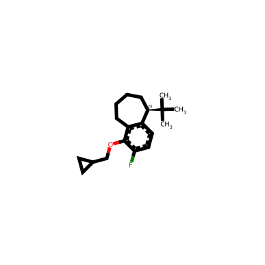 CC(C)(C)[C@@H]1CCCCc2c1ccc(F)c2OCC1CC1